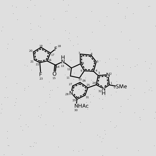 CSc1nc(-c2cccc3c2CCC3NC(=O)c2c(F)cccc2F)c(-c2ccnc(NC(C)=O)c2)[nH]1